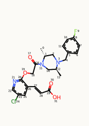 C[C@@H]1CN(Cc2ccc(F)cc2)[C@@H](C)CN1C(=O)COc1ncc(Cl)cc1C=CC(=O)O